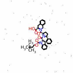 CC(C)(C)CCOC(=O)N1c2ccccc2C[C@@H]1C(=O)N1[C@@H](C(=O)N2Cc3ccccc3C[C@@H]2C(=O)O)CC[C@H]1c1ccccc1